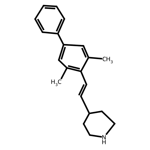 Cc1cc(-c2ccccc2)cc(C)c1/C=C/C1CCNCC1